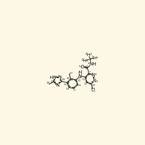 [2H]C([2H])([2H])NC(=O)c1nnc(Cl)cc1Nc1cccc(-c2n[nH]c(C)n2)c1C